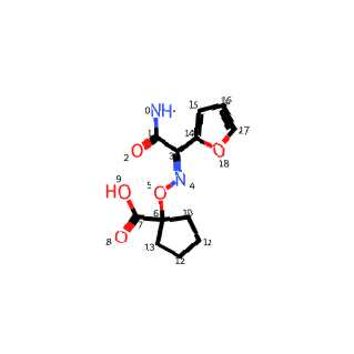 [NH]C(=O)C(=NOC1(C(=O)O)CCCC1)c1ccco1